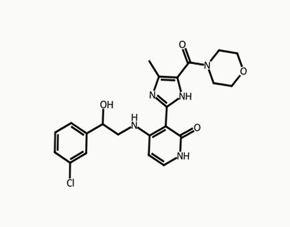 Cc1nc(-c2c(NCC(O)c3cccc(Cl)c3)cc[nH]c2=O)[nH]c1C(=O)N1CCOCC1